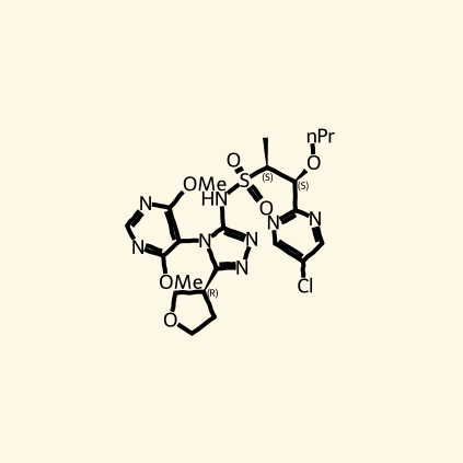 CCCO[C@@H](c1ncc(Cl)cn1)[C@H](C)S(=O)(=O)Nc1nnc([C@H]2CCOC2)n1-c1c(OC)ncnc1OC